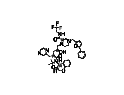 CC1(C)O[C@@H]2COc3ccccc3[C@@H]2N1C(=O)[C@H](Cc1cnccn1)C[C@H](O)CN1CCN(Cc2ccc(-c3ccccc3)o2)C[C@H]1C(=O)NCC(F)(F)F